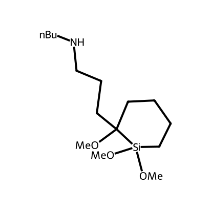 CCCCNCCCC1(OC)CCCC[Si]1(OC)OC